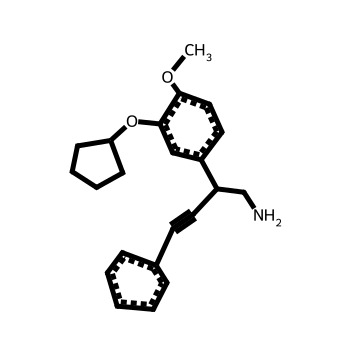 COc1ccc(C(C#Cc2ccccc2)CN)cc1OC1CCCC1